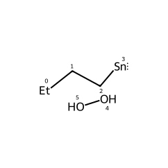 CCC[CH2][Sn].OO